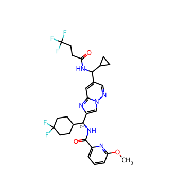 COc1cccc(C(=O)N[C@H](c2cn3ncc(C(NC(=O)CCC(F)(F)F)C4CC4)cc3n2)C2CCC(F)(F)CC2)n1